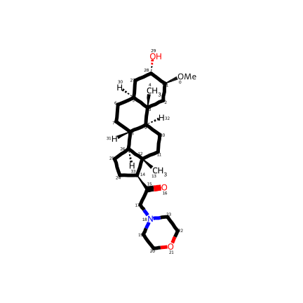 CO[C@H]1C[C@@]2(C)[C@@H](CC[C@@H]3[C@@H]2CC[C@]2(C)[C@@H](C(=O)CN4CCOCC4)CC[C@@H]32)C[C@@H]1O